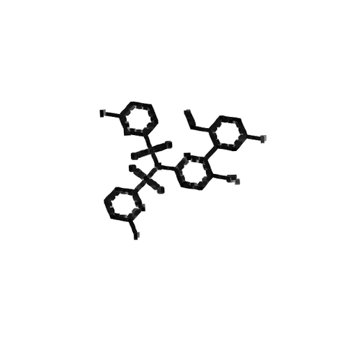 C=Cc1ccc(F)cc1-c1nc(N(S(=O)(=O)c2cccc(F)n2)S(=O)(=O)c2cccc(F)n2)ccc1C(F)(F)F